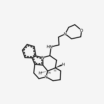 c1ccc2c(c1)c1c3n2C(NCCN2CCOCC2)C[C@@H]2CCCN(CC1)[C@@H]32